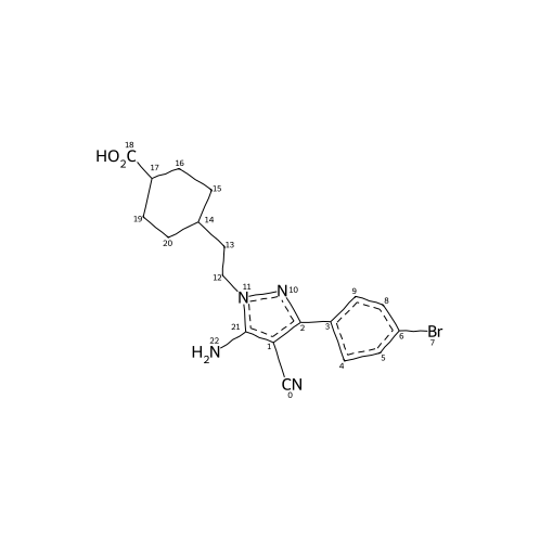 N#Cc1c(-c2ccc(Br)cc2)nn(CCC2CCC(C(=O)O)CC2)c1N